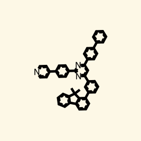 CC1(C)c2ccccc2-c2cccc(-c3cccc(-c4cc(-c5ccc(-c6ccccc6)cc5)nc(-c5ccc(-c6ccncc6)cc5)n4)c3)c21